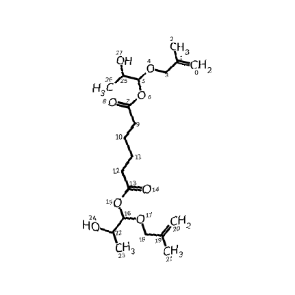 C=C(C)COC(OC(=O)CCCCC(=O)OC(OCC(=C)C)C(C)O)C(C)O